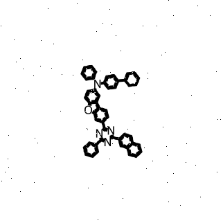 C1=CCCC(c2ccc(N(c3ccccc3)c3ccc4oc5cc(-c6nc(-c7ccccc7)nc(-c7ccc8ccccc8c7)n6)ccc5c4c3)cc2)=C1